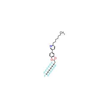 CCCCCCCc1ccc(-c2ccc3c(c2)OC(CC(F)(F)C(F)(F)C(F)(F)C(F)(F)C(F)(F)C(F)(F)F)O3)cn1